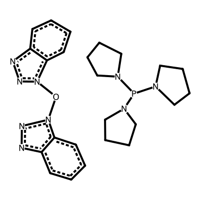 C1CCN(P(N2CCCC2)N2CCCC2)C1.c1ccc2c(c1)nnn2On1nnc2ccccc21